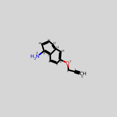 C#CCOc1ccc2c(N)cccc2c1